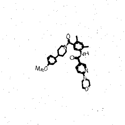 COc1ccc(C2CCN(C(=O)c3cc(NC(=O)c4ccc(N5CCOCC5)nc4)c(C)cc3C)CC2)cc1